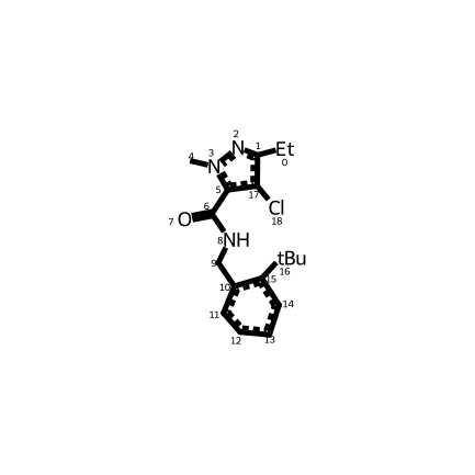 CCc1nn(C)c(C(=O)NCc2ccccc2C(C)(C)C)c1Cl